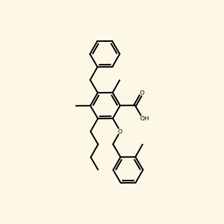 CCCCc1c(C)c(Cc2ccccc2)c(C)c(C(=O)O)c1OCc1ccccc1C